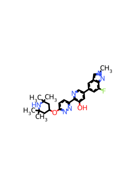 Cn1cc2cc(-c3cnc(-c4ccc(OC5CC(C)(C)NC(C)(C)C5)nn4)c(O)c3)cc(F)c2n1